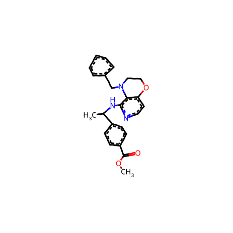 COC(=O)c1ccc(C(C)Nc2nccc3c2N(Cc2ccccc2)CCO3)cc1